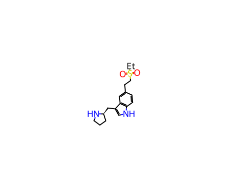 CCS(=O)(=O)CCc1ccc2[nH]cc(C[C@H]3CCCN3)c2c1